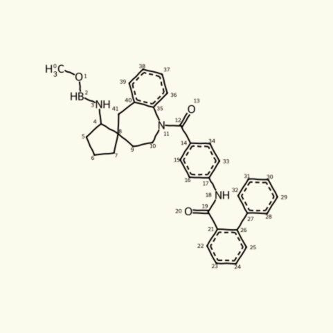 COBNC1CCCC12CCN(C(=O)c1ccc(NC(=O)c3ccccc3-c3ccccc3)cc1)c1ccccc1C2